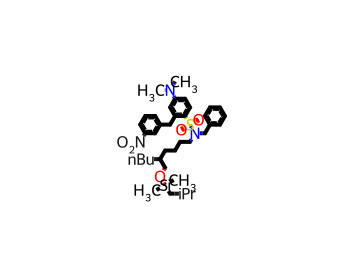 CCCCC(CCCCN(Cc1ccccc1)S(=O)(=O)c1ccc(N(C)C)cc1Cc1cccc([N+](=O)[O-])c1)CO[Si](C)(C)CC(C)C